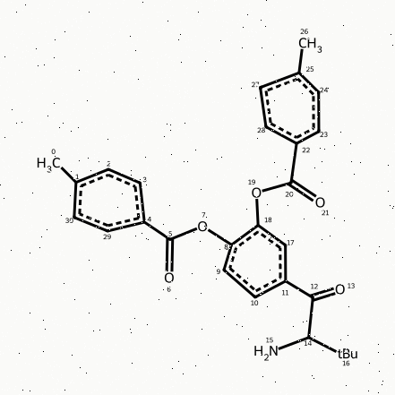 Cc1ccc(C(=O)Oc2ccc(C(=O)C(N)C(C)(C)C)cc2OC(=O)c2ccc(C)cc2)cc1